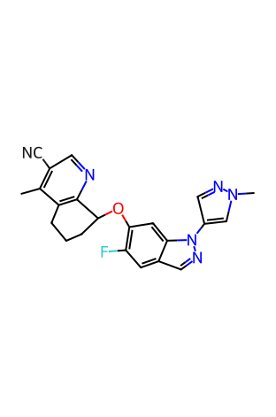 Cc1c(C#N)cnc2c1CCCC2Oc1cc2c(cnn2-c2cnn(C)c2)cc1F